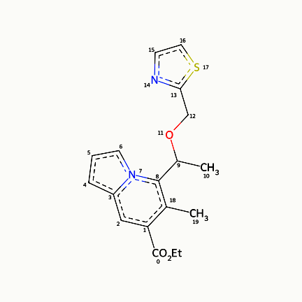 CCOC(=O)c1cc2cccn2c(C(C)OCc2nccs2)c1C